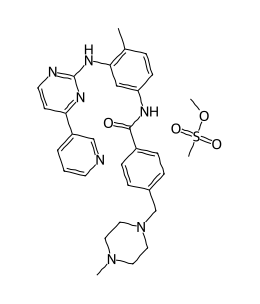 COS(C)(=O)=O.Cc1ccc(NC(=O)c2ccc(CN3CCN(C)CC3)cc2)cc1Nc1nccc(-c2cccnc2)n1